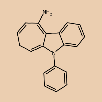 NC1=c2c(n(-c3ccccc3)c3ccccc23)=CCC=C1